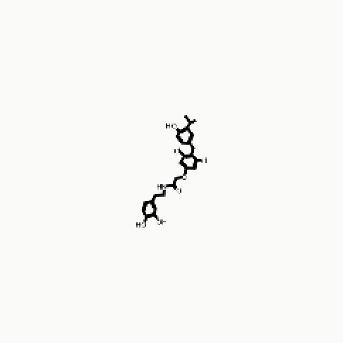 CC(C)c1cc(Cc2c(Cl)cc(OCC(=O)NCCc3ccc(O)c(O)c3)cc2Cl)ccc1O